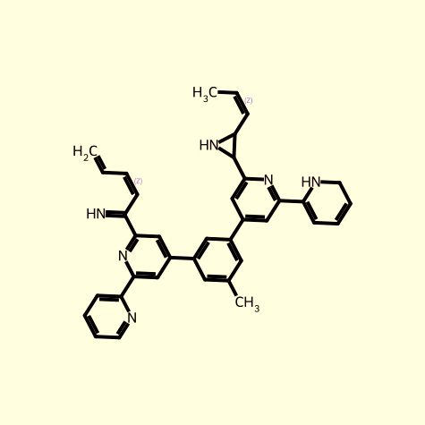 C=C/C=C\C(=N)c1cc(-c2cc(C)cc(-c3cc(C4=CC=CCN4)nc(C4NC4/C=C\C)c3)c2)cc(-c2ccccn2)n1